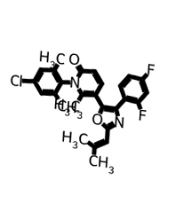 CC(C)=Cc1nc(-c2ccc(F)cc2F)c(-c2ccc(=O)n(-c3c(C)cc(Cl)cc3C)c2C)o1